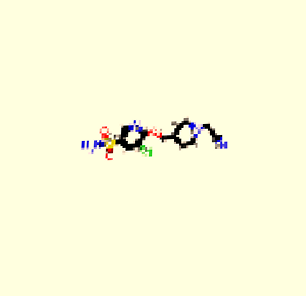 N#CCN1CCC(COc2ncc(S(N)(=O)=O)cc2Cl)CC1